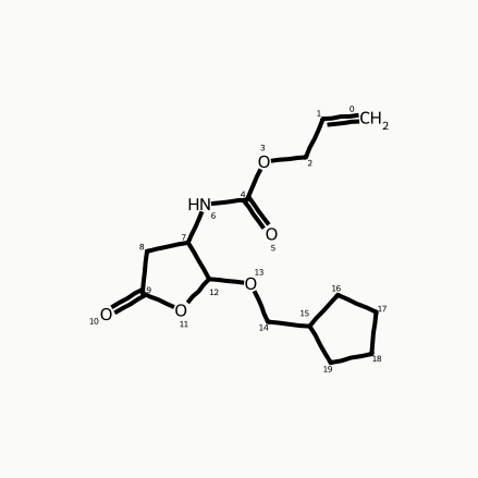 C=CCOC(=O)NC1CC(=O)OC1OCC1CCCC1